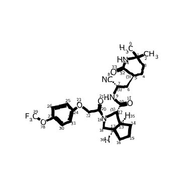 CC1(C)CC[C@@H](C[C@@H](C#N)NC(=O)[C@@H]2[C@H]3CCC[C@H]3CN2C(=O)COc2ccc(OC(F)(F)F)cc2)C(=O)N1